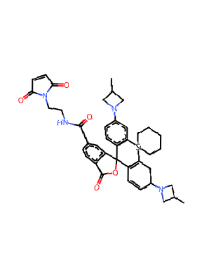 CC1CN(c2ccc3c(c2)[Si]2(CCCCC2)C2=C(C=CC(N4CC(C)C4)C2)C32OC(=O)c3ccc(C(=O)NCCN4C(=O)C=CC4=O)cc32)C1